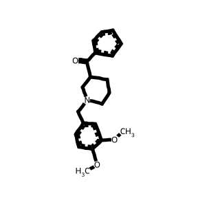 COc1ccc(CN2CCCC(C(=O)c3ccccc3)C2)cc1OC